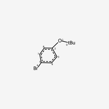 CC(C)(C)Oc1ccc(Br)cc1